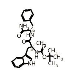 CC(C)(C)OC(=O)N[C@@](C)(Cc1c[nH]c2ccccc12)C(=O)N[C@@H](Cc1ccccc1)C(N)=O